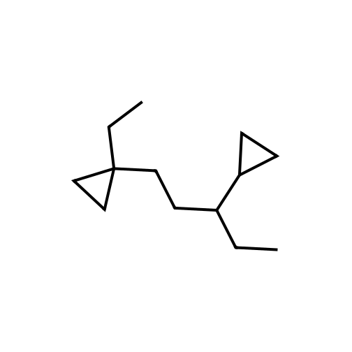 CCC(CCC1(CC)CC1)C1CC1